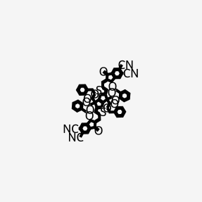 N#Cc1cc2c(cc1C#N)C(=O)C(=Cc1cc3c(s1)C1=C(c4sc(C=C5C(=O)c6cc(C#N)c(C#N)cc6C5=O)cc4C1(C(=O)OCc1ccccc1)C(=O)OCc1ccccc1)C3(C(=O)OCc1ccccc1)C(=O)OCc1ccccc1)C2=O